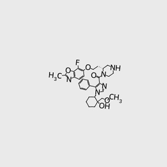 COC[C@]1(O)CCCC[C@H]1n1cnc(C(=O)N2CCNC[C@H]2CCOc2ccc3nc(C)oc3c2F)c1-c1ccccc1